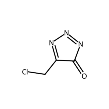 O=C1N=NN=C1CCl